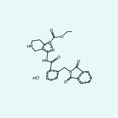 CCOC(=O)n1nc(NC(=O)c2ccccc2CN2C(=O)c3ccccc3C2=O)c2c1CCNC2.Cl